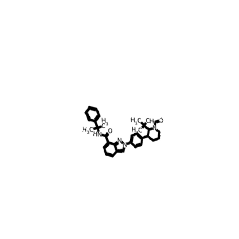 CC(C)(NC(=O)c1cccc2cn(-c3ccc(C4CCCN([C]=O)C4C(C)(C)C)cc3)nc12)c1ccccc1